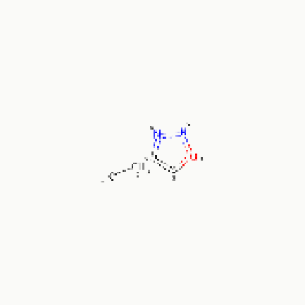 [CH3][K].c1conn1